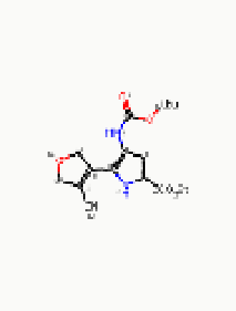 CCOC(=O)c1cc(NC(=O)OC(C)(C)C)c(C2=C(C#N)COC2)[nH]1